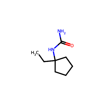 CCC1(NC(N)=O)CCCC1